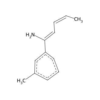 C/C=C\C=C(/N)c1cccc(C)c1